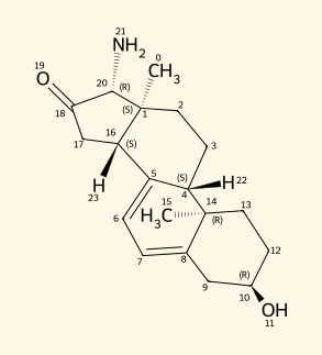 C[C@]12CC[C@H]3C(=CC=C4C[C@H](O)CC[C@@]43C)[C@@H]1CC(=O)[C@@H]2N